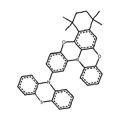 CC1(C)CCC(C)(C)c2c1cc1c3c2Oc2ccc(N4c5ccccc5Sc5ccccc54)cc2B3c2ccccc2O1